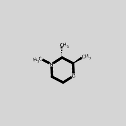 C[C@@H]1[C@@H](C)OCCN1C